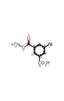 NOC(=O)c1c[c]([Ni])cc(C(=O)O)c1